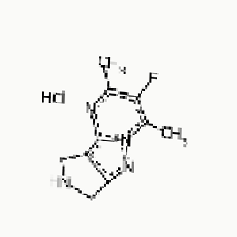 Cc1nc2c3c(nn2c(C)c1F)CNC3.Cl